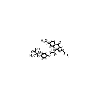 CCc1cc(C(=O)c2ccc(OC)cc2)c(NC(=O)CSc2ccc(OC(C)(C)C(=O)O)cc2)s1